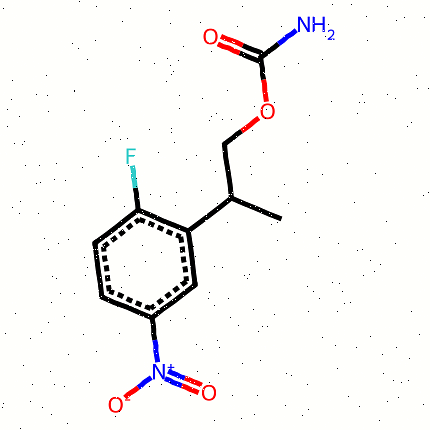 CC(COC(N)=O)c1cc([N+](=O)[O-])ccc1F